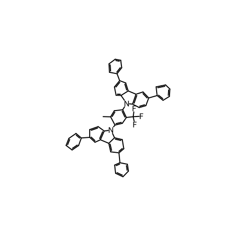 Cc1cc(-n2c3ccc(-c4ccccc4)cc3c3cc(-c4ccccc4)ccc32)c(C(F)(F)F)cc1-n1c2ccc(-c3ccccc3)cc2c2cc(-c3ccccc3)ccc21